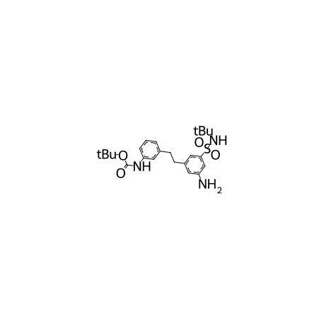 CC(C)(C)NS(=O)(=O)c1cc(N)cc(CCc2cccc(NC(=O)OC(C)(C)C)c2)c1